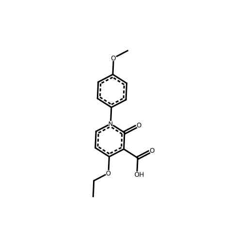 CCOc1ccn(-c2ccc(OC)cc2)c(=O)c1C(=O)O